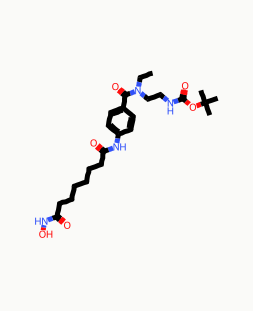 CCN(CCNC(=O)OC(C)(C)C)C(=O)c1ccc(NC(=O)CCCCCCC(=O)NO)cc1